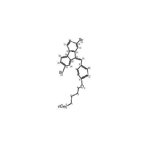 CCCCCCCCCCCCCCOc1ccc(C=C2c3cc(Br)ccc3-c3ccc(Br)cc32)cc1